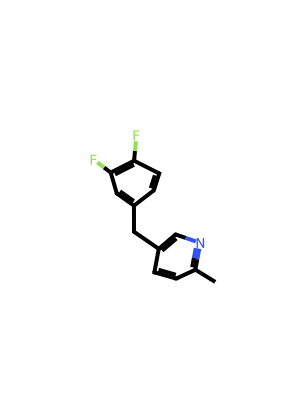 Cc1ccc(Cc2ccc(F)c(F)c2)cn1